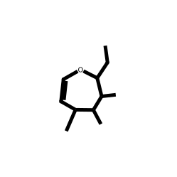 CCC1OC=CC(C)C(C)C1C